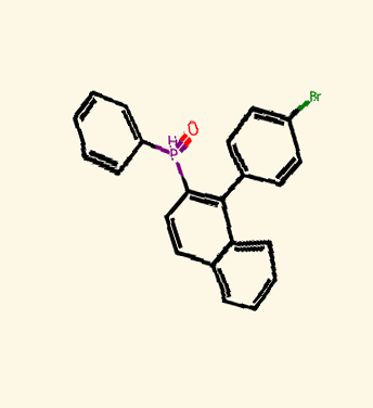 O=[PH](c1ccccc1)c1ccc2ccccc2c1-c1ccc(Br)cc1